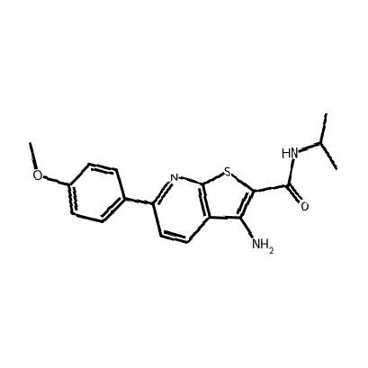 COc1ccc(-c2ccc3c(N)c(C(=O)NC(C)C)sc3n2)cc1